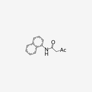 CC(=O)CC(=O)Nc1cccc2ccccc12